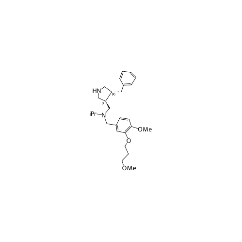 COCCCOc1cc(CN(C[C@H]2CNC[C@@H]2Cc2ccccc2)C(C)C)ccc1OC